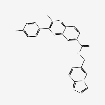 O=C(NCc1ccc2nccn2c1)c1ccc2nc(Cl)c(-c3ccc(F)cc3)nc2c1